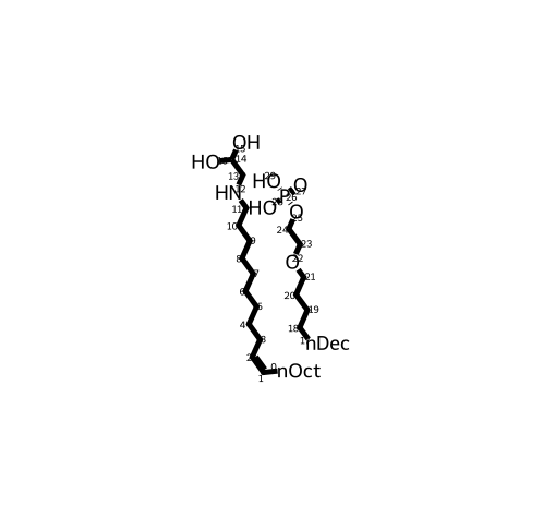 CCCCCCCC/C=C\CCCCCCCCCNCC(O)O.CCCCCCCCCCCCCCOCCOP(=O)(O)O